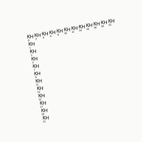 [KH].[KH].[KH].[KH].[KH].[KH].[KH].[KH].[KH].[KH].[KH].[KH].[KH].[KH].[KH].[KH].[KH].[KH].[KH].[KH].[KH].[KH].[KH]